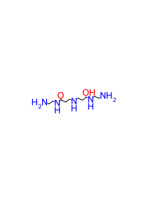 NCCNC(=O)CCNCCC(O)NCCN